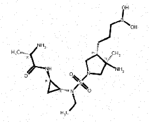 CCN([C@@H]1C[C@H]1NC(=O)[C@H](C)N)S(=O)(=O)N1C[C@H](CCCB(O)O)[C@@](C)(N)C1